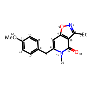 CCc1noc2cc(Cc3ccc(OC)cc3)n(C)c(=O)c12